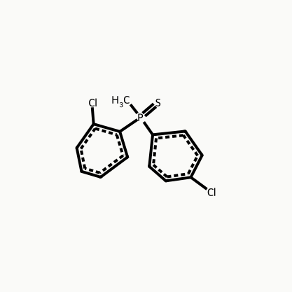 CP(=S)(c1ccc(Cl)cc1)c1ccccc1Cl